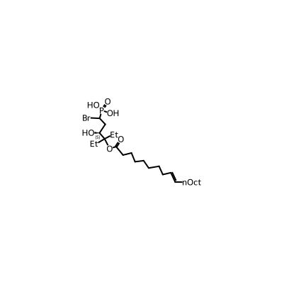 CCCCCCCCC=CCCCCCCCC(=O)OC(CC)(CC)[C@@H](O)CC(Br)P(=O)(O)O